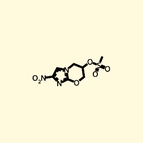 CS(=O)(=O)OC1COc2nc([N+](=O)[O-])cn2C1